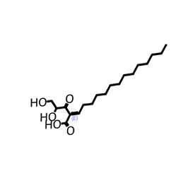 CCCCCCCCCCCCC/C=C(/C(=O)O)C(=O)C(O)CO